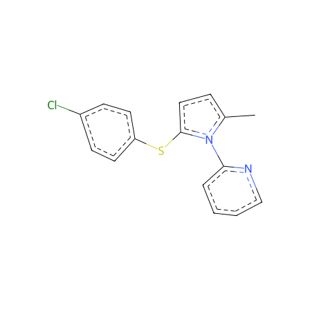 Cc1ccc(Sc2ccc(Cl)cc2)n1-c1ccccn1